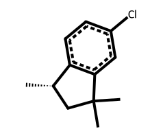 C[C@H]1CC(C)(C)c2cc(Cl)ccc21